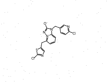 [O-]c1n[n+]2c(Cc3cnc(Cl)s3)cccc2n1Cc1ccc(Cl)nc1